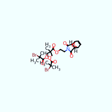 CC(C)(Br)C(=O)OCC(C)(COC(=O)C(C)(C)Br)C(=O)OCCN1C(=O)[C@@H]2C3C=CC(O3)[C@@H]2C1=O